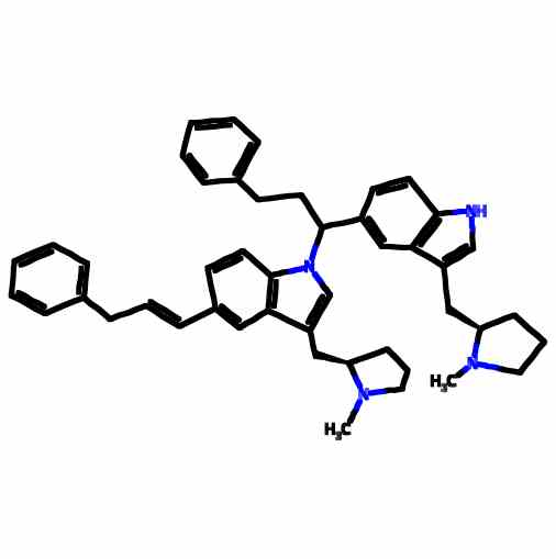 CN1CCC[C@@H]1Cc1c[nH]c2ccc(C(CCc3ccccc3)n3cc(C[C@H]4CCCN4C)c4cc(/C=C/Cc5ccccc5)ccc43)cc12